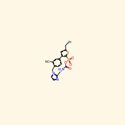 Cc1nccn1Cc1ccc(-c2cc(CC(C)C)sc2S(=O)(=O)OC(N)=O)cc1C#N